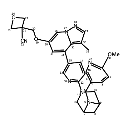 COc1ccc(CN2C3CC2CN(c2ccc(-c4cc(OCC5(C#N)COC5)cn5ncc(C)c45)cn2)C3)cn1